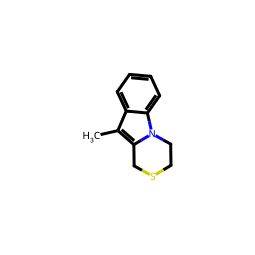 Cc1c2n(c3ccccc13)CCSC2